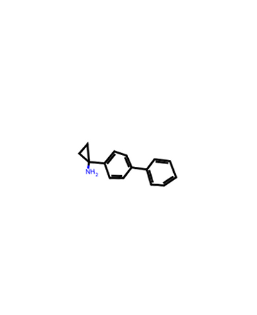 NC1(c2ccc(-c3ccccc3)cc2)CC1